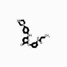 C/C=C/C(=O)Nc1cccc(Oc2nc(Nc3ccc(N4CCNCC4)cc3)ccc2Cl)c1